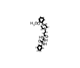 COc1ccccc1N1CCN(CCC(=O)NNC(=O)Nc2ccccc2)CC1